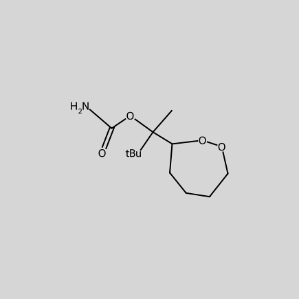 CC(C)(C)C(C)(OC(N)=O)C1CCCCOO1